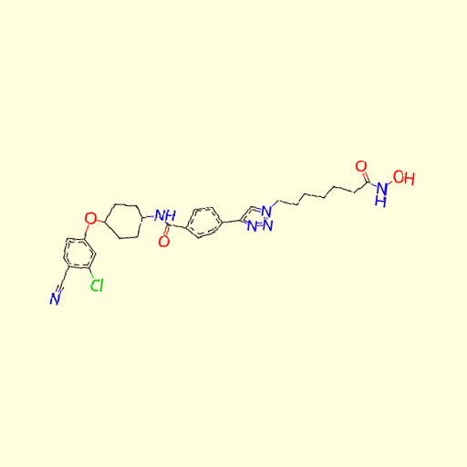 N#Cc1ccc(OC2CCC(NC(=O)c3ccc(-c4cn(CCCCCCC(=O)NO)nn4)cc3)CC2)cc1Cl